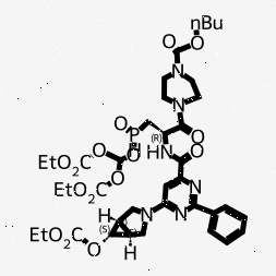 CCCCOC(=O)N1CCN(C(=O)[C@H](C[PH](=O)OC(OC(=O)OCC)OC(=O)OCC)NC(=O)c2cc(N3C[C@@H]4[C@H](C3)[C@H]4OC(=O)OCC)nc(-c3ccccc3)n2)CC1